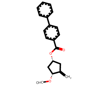 C=C1C[C@@H](OC(=O)c2ccc(-c3ccccc3)cc2)C[C@H]1OC=O